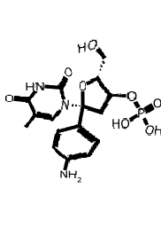 Cc1cn([C@@]2(c3ccc(N)cc3)C[C@H](OP(=O)(O)O)[C@@H](CO)O2)c(=O)[nH]c1=O